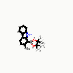 CCCCc1ccc2c([nH]c3ccccc32)c1B1OC(C)(C)C(C)(C)O1